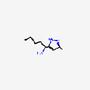 CCCCC(N)c1cc(C)n[nH]1